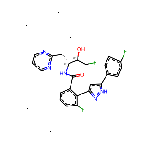 O=C(N[C@H](Cc1ncccn1)[C@@H](O)CF)c1cccc(F)c1-c1cc(-c2ccc(F)cc2)[nH]n1